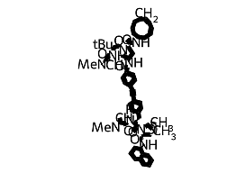 C=C1/C=C\C=C/C[C@H](NC(=O)[C@@H]2C[C@H](NC(=O)c3ccc(C#Cc4ccc(C[C@H](NC(=O)[C@H](C)NC)C(=O)N5C[Si](C)(C)C[C@H]5C(=O)N[C@@H]5CCCc6ccccc65)cc4)cc3)CN2C(=O)C(NC(=O)[C@H](C)NC)C(C)(C)C)CCC1